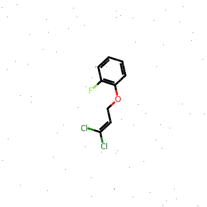 Fc1[c]cccc1OCC=C(Cl)Cl